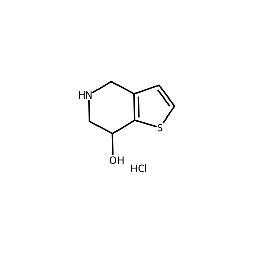 Cl.OC1CNCc2ccsc21